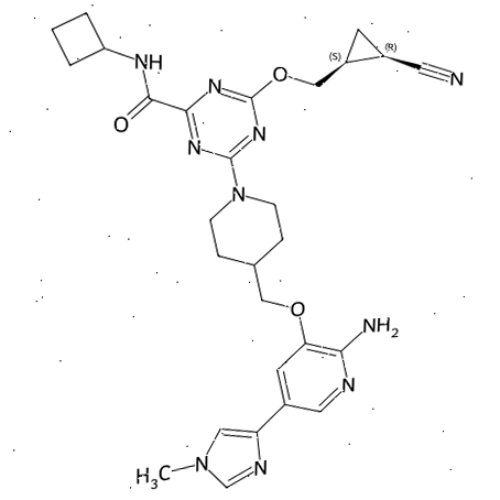 Cn1cnc(-c2cnc(N)c(OCC3CCN(c4nc(OC[C@H]5C[C@H]5C#N)nc(C(=O)NC5CCC5)n4)CC3)c2)c1